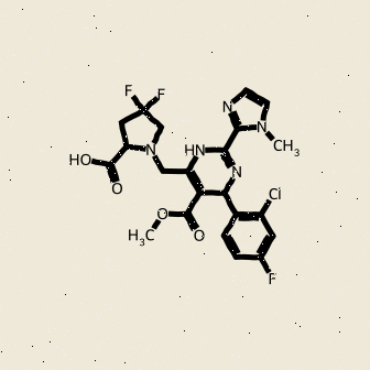 COC(=O)C1=C(CN2CC(F)(F)CC2C(=O)O)NC(c2nccn2C)=NC1c1ccc(F)cc1Cl